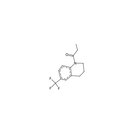 CCC(=O)N1CCCc2cc(C(F)(F)F)ccc21